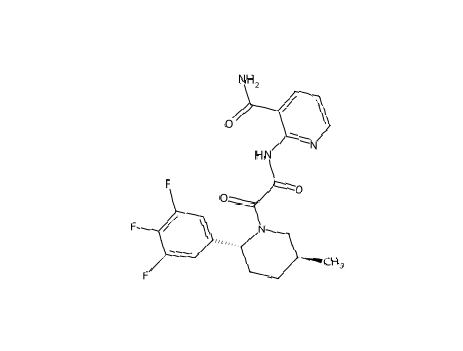 C[C@H]1CC[C@H](c2cc(F)c(F)c(F)c2)N(C(=O)C(=O)Nc2ncccc2C(N)=O)C1